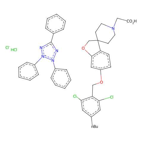 CCCCc1cc(Cl)c(COc2ccc3c(c2)OCC32CCN(CC(=O)O)CC2)c(Cl)c1.Cl.[Cl-].c1ccc(-c2nn(-c3ccccc3)[n+](-c3ccccc3)n2)cc1